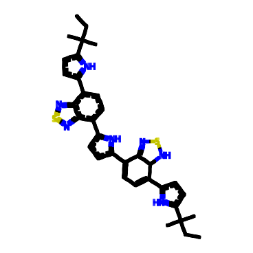 CCC(C)(C)c1ccc(C2=CC=C(c3ccc(-c4ccc(-c5ccc(C(C)(C)CC)[nH]5)c5nsnc45)[nH]3)C3=NSNC23)[nH]1